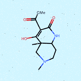 COC(=O)C1=C(O)C2(C)CN(C)CCC2NC1=O